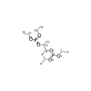 CCOP(OCC)OC(C)C(C)OP(OCC)OCC